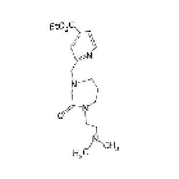 CCOC(=O)c1ccnc(CN2CCCN(CCN(C)C)C(=O)C2)c1